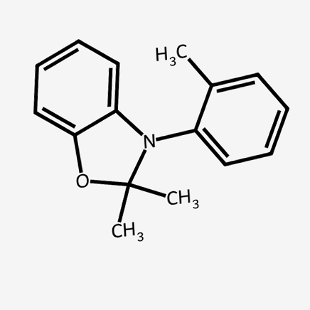 Cc1ccccc1N1c2ccccc2OC1(C)C